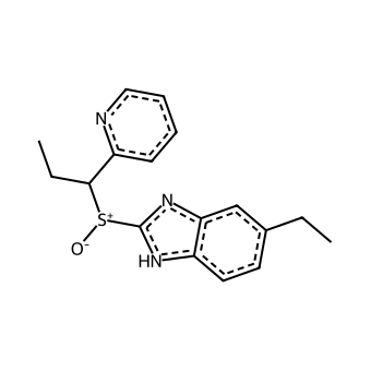 CCc1ccc2[nH]c([S+]([O-])C(CC)c3ccccn3)nc2c1